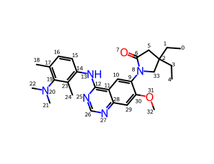 CCC1(CC)CC(=O)N(c2cc3c(Nc4ccc(C)c(N(C)C)c4C)ncnc3cc2OC)C1